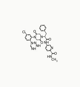 CNC(=O)c1ccc(NC(=O)C(Cc2ccccc2)N2CC(=O)N(c3cc(Cl)ccc3N(C=N)N=N)CC2=O)cn1